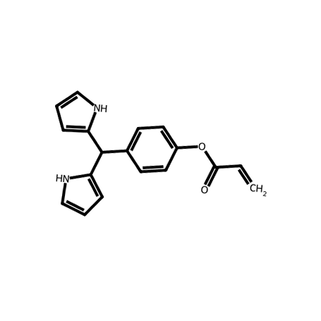 C=CC(=O)Oc1ccc(C(c2ccc[nH]2)c2ccc[nH]2)cc1